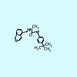 CN(N=Cc1cccc2cnccc12)C(=O)C1CC1c1ccc(C(C)(C)C)cc1